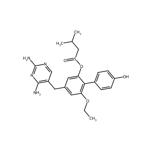 CCOc1cc(Cc2cnc(N)nc2N)cc(OS(=O)CC(C)C)c1-c1ccc(O)cc1